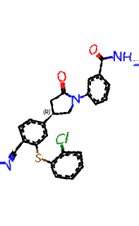 N#Cc1ccc([C@H]2CC(=O)N(c3cccc(C(N)=O)c3)C2)cc1Sc1ccccc1Cl